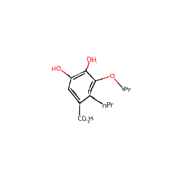 CCCc1c(C(=O)O)cc(O)c(O)c1OC(C)C